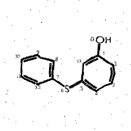 Oc1cccc(Sc2ccccc2)c1